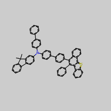 CC1(C)c2ccccc2-c2ccc(N(c3ccc(-c4ccccc4)cc3)c3ccc(-c4ccc(-c5c(-c6ccccc6)c6c7ccccc7sc6c6ccccc56)cc4)cc3)cc21